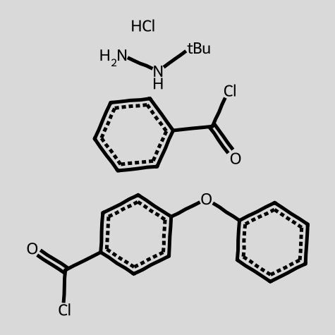 CC(C)(C)NN.Cl.O=C(Cl)c1ccc(Oc2ccccc2)cc1.O=C(Cl)c1ccccc1